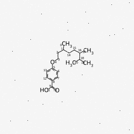 CC(CCOc1ccc(C(=O)O)cc1)CCC(C)C(C)C